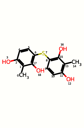 Cc1c(O)ccc(Sc2ccc(O)c(C)c2O)c1O